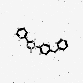 c1ccc(Cc2ccc(-n3nnc(-c4ccccn4)n3)cc2)cc1